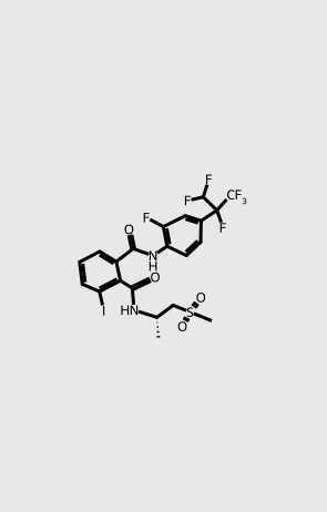 C[C@@H](CS(C)(=O)=O)NC(=O)c1c(I)cccc1C(=O)Nc1ccc(C(F)(C(F)F)C(F)(F)F)cc1F